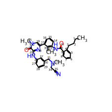 CCCCc1ccccc1C(=O)Nc1cccc(-c2cn(C)c(=O)c(Nc3cccc(CN(C)CC#N)c3)n2)c1C